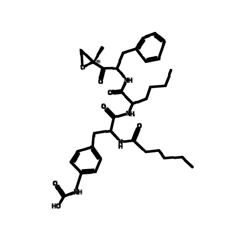 CCCCCC(=O)NC(Cc1ccc(NC(=O)O)cc1)C(=O)NC(CCCC)C(=O)NC(Cc1ccccc1)C(=O)[C@@]1(C)CO1